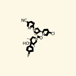 C[C@@H]1CN(C(=O)[C@@H]2CN(c3ccc(C#N)cn3)C[C@H]2c2ccc(Cl)cn2)C[C@H](C)[C@@]1(O)c1ccc(F)cc1